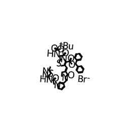 Cc1nnc(NC(=O)C[n+]2cccc(CN3CCC(=CC4=C(C(=O)OC(c5ccccc5)c5ccccc5)N5C(=O)C(NC(=O)OC(C)(C)C)C5SC4)C3=O)c2)s1.[Br-]